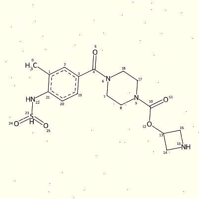 Cc1cc(C(=O)N2CCN(C(=O)OC3CNC3)CC2)ccc1N[SH](=O)=O